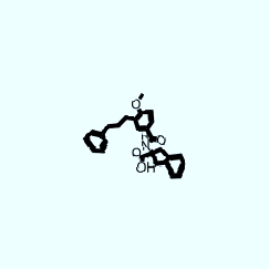 COc1ccc(C(=O)NC2(C(=O)O)Cc3ccccc3C2)cc1CCCc1ccccc1